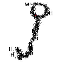 CO[C@H]1CC2CCCC(O2)C(=O)C(=O)N2CCCC[C@H]2C(=O)O[C@H](CC[C@H]2CC[C@H](OC(=O)N3CCc4nc(N5CCN(C(=O)CCOCCN6CCN(c7ncc(C(=O)N8CCc9cc(Cn%10nc(-c%11ccc%12oc(N)nc%12c%11)c%11c(N)ncnc%11%10)ccc9C8)cn7)CC6)CC5)ncc4C3)CC2)CC[C@H](C)/C=C(\C)[C@@H](O)CC(=O)[C@H](C)C[C@H](C)/C=C/C=C/C=C/1C